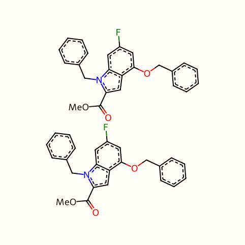 COC(=O)c1cc2c(OCc3ccccc3)cc(F)cc2n1Cc1ccccc1.COC(=O)c1cc2c(OCc3ccccc3)cc(F)cc2n1Cc1ccccc1